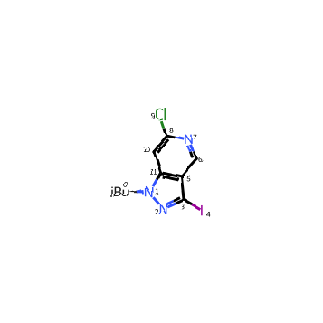 CC[C@H](C)n1nc(I)c2cnc(Cl)cc21